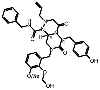 C=CCN1CC(=O)N2[C@@H](Cc3ccc(O)cc3)C(=O)N(Cc3cccc(OC)c3OCO)C[C@@H]2N1C(=O)NCc1ccccc1